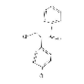 O=C(c1ccccc1)C(CCl)c1ccc(Cl)cc1